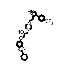 O[C@H](COc1ccc2sc(C3CCCCC3)nc2c1)CN1CCN(CCc2n[nH]cc2-c2ccc(C(F)(F)F)cc2)CC1